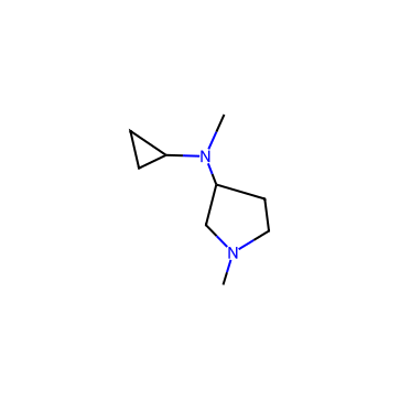 CN1CCC(N(C)C2CC2)C1